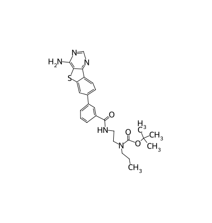 CCCN(CCNC(=O)c1cccc(-c2ccc3c(c2)sc2c(N)ncnc23)c1)C(=O)OC(C)(C)C